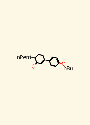 CCCCCC1CCC(c2ccc(OCCCC)cc2)=CC1=O